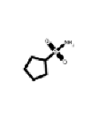 NS(=O)(=O)C1[CH]CCC1